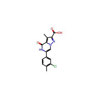 Cc1ccc(-c2cn3nc(C(=O)O)c(C)c3c(=O)[nH]2)cc1Cl